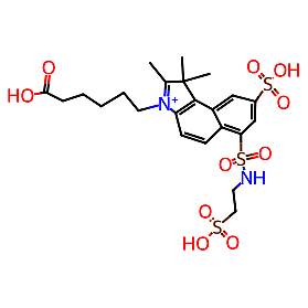 CC1=[N+](CCCCCC(=O)O)c2ccc3c(S(=O)(=O)NCCS(=O)(=O)O)cc(S(=O)(=O)O)cc3c2C1(C)C